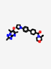 Cc1nc2nc(C)c(O[C@@H]3CCN(c4ccc(C5CCC(C(=O)N6CCOC[C@@H]6C)CC5)cc4)C3)c(C)n2n1